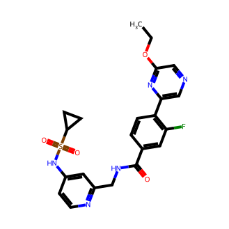 CCOc1cncc(-c2ccc(C(=O)NCc3cc(NS(=O)(=O)C4CC4)ccn3)cc2F)n1